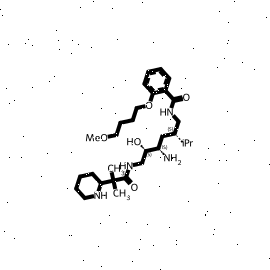 COCCCCOc1ccccc1C(=O)NC[C@@H](C[C@H](N)[C@@H](O)CNC(=O)C(C)(C)C1CCCCN1)C(C)C